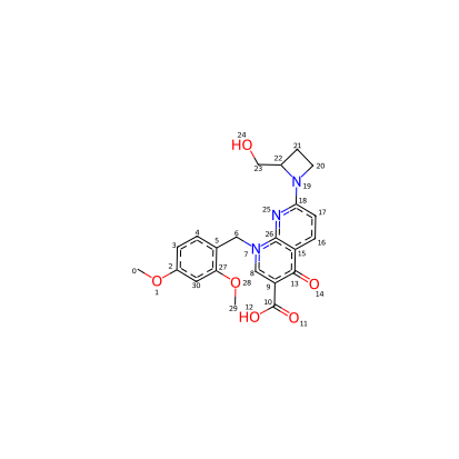 COc1ccc(Cn2cc(C(=O)O)c(=O)c3ccc(N4CCC4CO)nc32)c(OC)c1